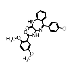 COc1ccc(OC)c(C(=O)NC2N=C(c3ccc(Cl)cc3)c3ccccc3NC2=O)c1